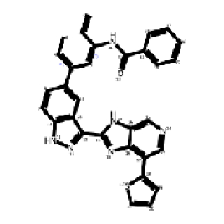 C=C/C(=C\C(=C/C)c1ccc2[nH]nc(-c3nc4c(-c5cccs5)cncc4[nH]3)c2c1)NC(=O)c1ccccc1